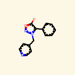 [O-]c1on[n+](Cc2ccncc2)c1-c1ccccc1